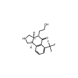 O=C1c2c(cccc2C(F)(F)F)[C@H]2CNC[C@@H]2N1CCO